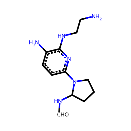 NCCNc1nc(N2CCCC2NC=O)ccc1N